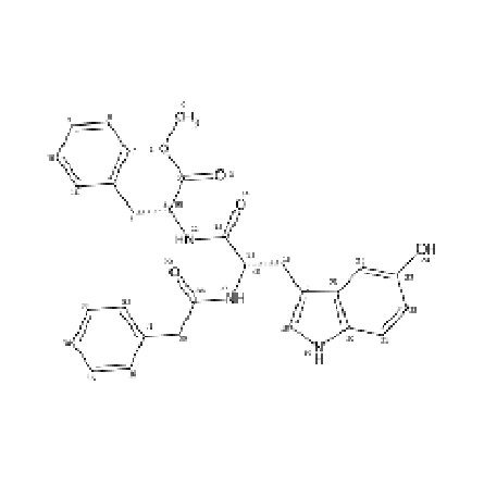 COC(=O)[C@@H](Cc1ccccc1)NC(=O)[C@H](Cc1c[nH]c2ccc(O)cc12)NC(=O)Cc1ccccc1